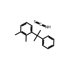 Cc1cccc(C(C)(C)c2ccccc2)c1C.N=C=S